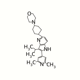 Cc1cc(-c2[nH]c3ccc(C4CCC(N5CCOCC5)CC4)nc3c2C(C)C)cc(C)n1